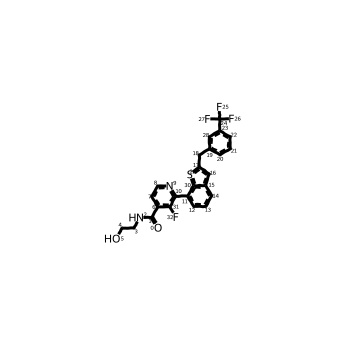 O=C(NCCO)c1ccnc(-c2cccc3cc(Cc4cccc(C(F)(F)F)c4)sc23)c1F